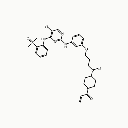 C=CC(=O)N1CCC(N(CC)CCCOc2cccc(Nc3ncc(Cl)c(Nc4ccccc4P(C)(C)=O)n3)c2)CC1